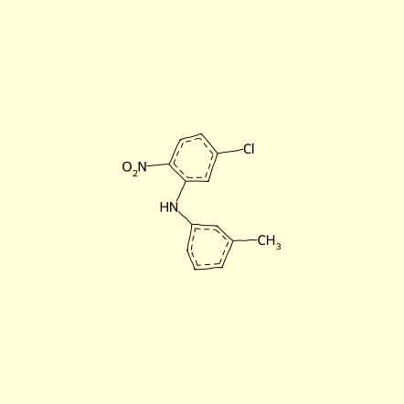 Cc1cccc(Nc2cc(Cl)ccc2[N+](=O)[O-])c1